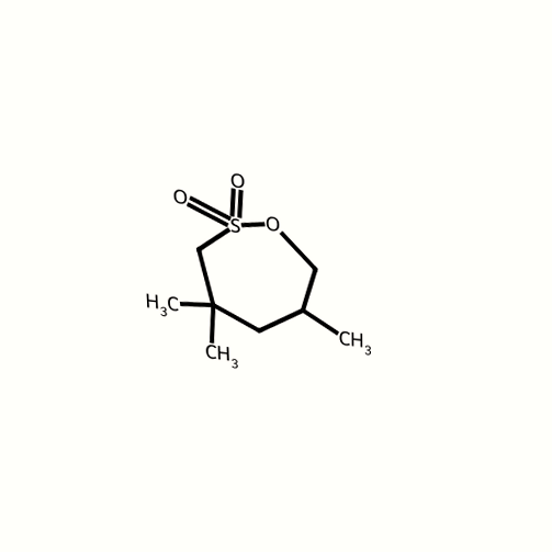 CC1COS(=O)(=O)CC(C)(C)C1